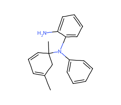 CC1=CC=CC(C)(N(c2ccccc2)c2ccccc2N)C1